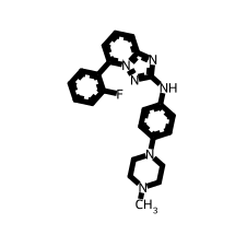 CN1CCN(c2ccc(Nc3nc4cccc(-c5ccccc5F)n4n3)cc2)CC1